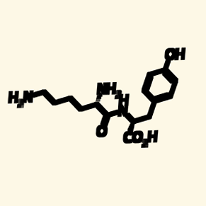 NCCCC[C@H](N)C(=O)N[C@@H](Cc1ccc(O)cc1)C(=O)O